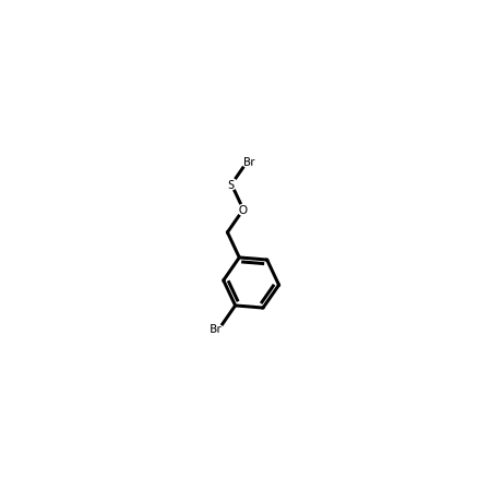 BrSOCc1cccc(Br)c1